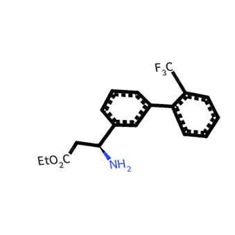 CCOC(=O)C[C@H](N)c1cccc(-c2ccccc2C(F)(F)F)c1